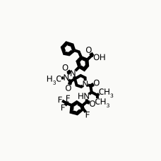 CC(C)C(NC(=O)c1cc(C(F)(F)F)ccc1F)C(=O)N1CCC2(CC1)C(=O)N(C)C(=O)N2c1ccc(C(=O)O)c(Cc2ccccc2)c1